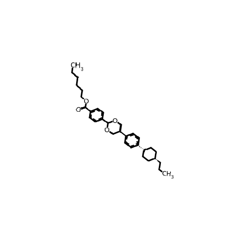 CCCCCCOC(=O)c1ccc(C2OCC(c3ccc([C@H]4CC[C@H](CCC)CC4)cc3)CO2)cc1